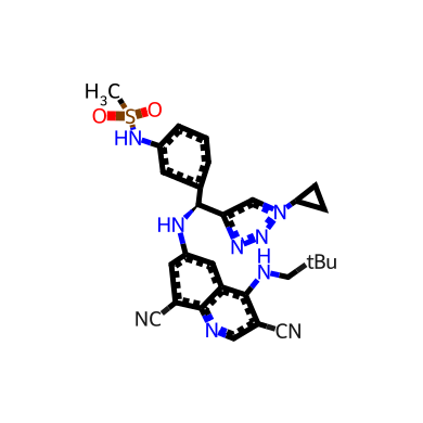 CC(C)(C)CNc1c(C#N)cnc2c(C#N)cc(N[C@@H](c3cccc(NS(C)(=O)=O)c3)c3cn(C4CC4)nn3)cc12